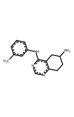 Cc1cccc(Nc2ncnc3c2CC(N)CC3)c1